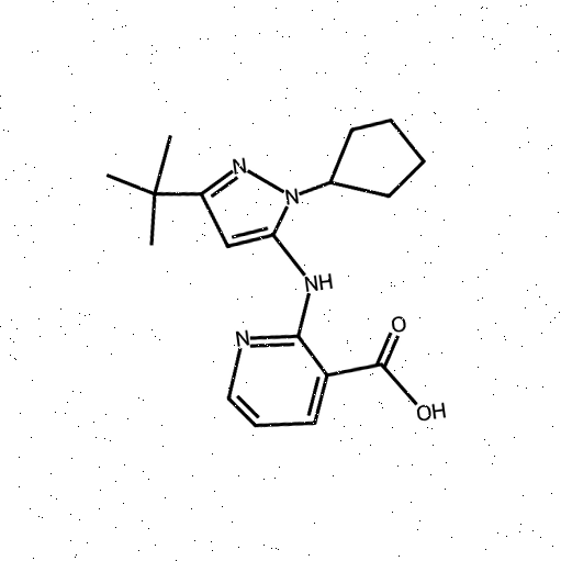 CC(C)(C)c1cc(Nc2ncccc2C(=O)O)n(C2CCCC2)n1